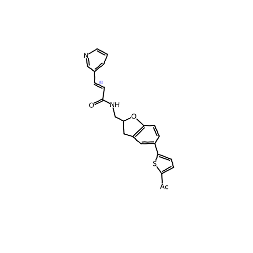 CC(=O)c1ccc(-c2ccc3c(c2)CC(CNC(=O)/C=C/c2cccnc2)O3)s1